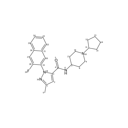 Cc1cc(C(=O)NC2CCN(C3CCCC3)CC2)n(-c2cc3ccccc3cc2F)n1